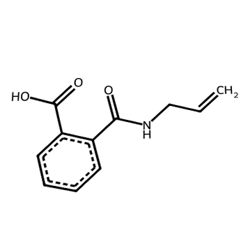 C=CCNC(=O)c1ccccc1C(=O)O